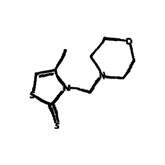 Cc1csc(=S)n1CN1CCOCC1